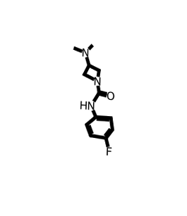 CN(C)C1CN(C(=O)Nc2ccc(F)cc2)C1